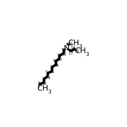 CCCCCCCCCCCCCCN(CC)CCC